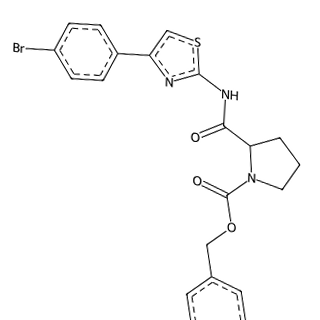 O=C(Nc1nc(-c2ccc(Br)cc2)cs1)C1CCCN1C(=O)OCc1ccccc1